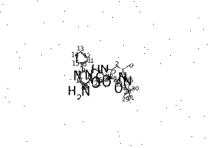 CCCC(NC(=O)Cn1c(-c2ccccc2)ncc(N)c1=O)C(=O)c1nnc(C(C)(C)C)o1